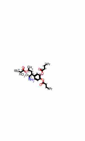 CC(C)CCC(=O)Oc1ccc(C(CC(C)OC(=O)CC(C)(C)C)[C@H](N)C(=O)O)cc1OC(=O)CCC(C)C